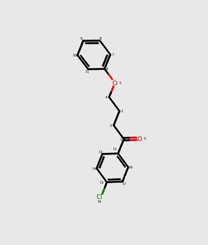 O=C(CCCOc1ccccc1)c1ccc(Cl)cc1